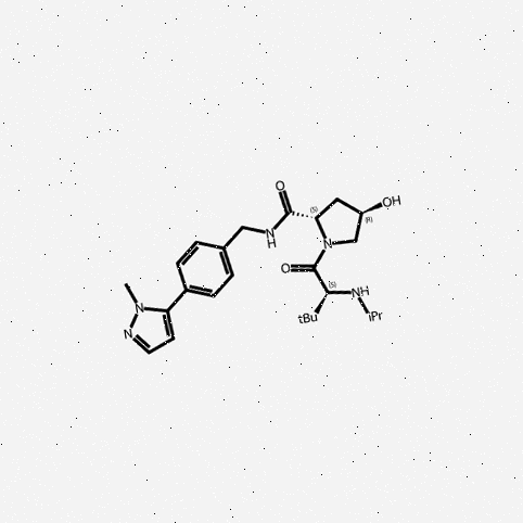 CC(C)N[C@H](C(=O)N1C[C@H](O)C[C@H]1C(=O)NCc1ccc(-c2ccnn2C)cc1)C(C)(C)C